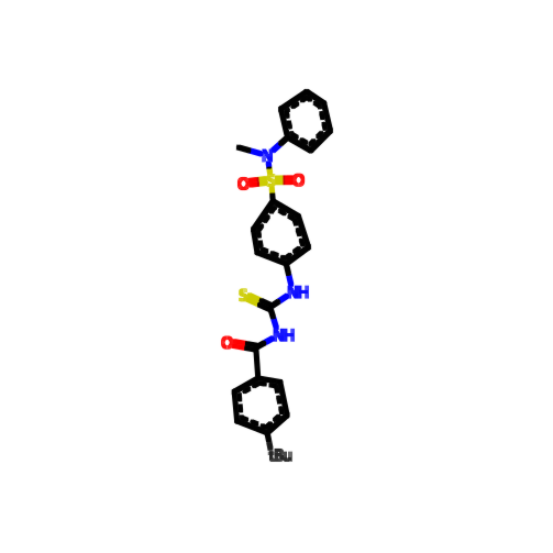 CN(c1ccccc1)S(=O)(=O)c1ccc(NC(=S)NC(=O)c2ccc(C(C)(C)C)cc2)cc1